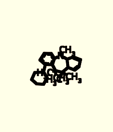 CN1c2cccc(C3CCCCC3)c2C(C)(C)C(C)(C)C2C=CC=CC21